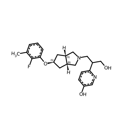 Cc1cccc(O[C@H]2C[C@@H]3CN(CC(CO)c4ccc(O)cn4)C[C@@H]3C2)c1F